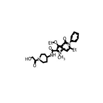 CCOc1c(C(=O)NC2CCN(C(=O)CO)CC2)n(C)c2cc(CC)n(-c3ccccc3)c(=O)c12